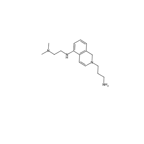 CN(C)CCNc1cccc2c1C=CN(CCCN)C2